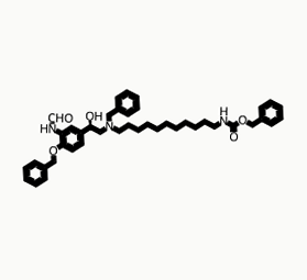 O=CNc1cc([C@@H](O)CN(CCCCCCCCCCCNC(=O)OCc2ccccc2)Cc2ccccc2)ccc1OCc1ccccc1